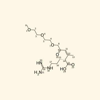 COCCOCCOCC(=O)/C=C(/C)[C@@H](CCCNC(=N)N)C(=O)O